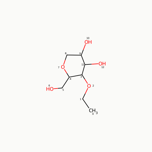 CCOC1C(CO)OCC(O)C1O